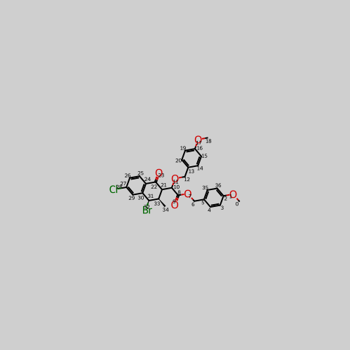 COc1ccc(COC(=O)C(OCc2ccc(OC)cc2)C2C(=O)c3ccc(Cl)cc3[C@H](Br)[C@@H]2C)cc1